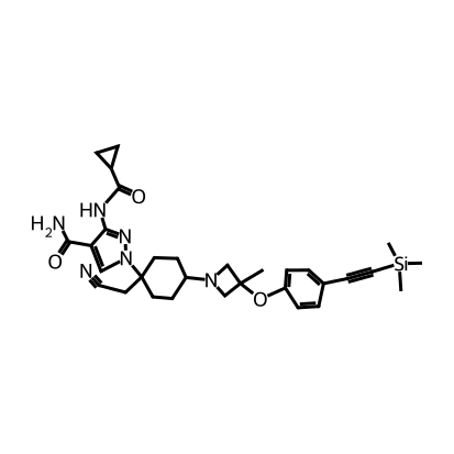 CC1(Oc2ccc(C#C[Si](C)(C)C)cc2)CN(C2CCC(CC#N)(n3cc(C(N)=O)c(NC(=O)C4CC4)n3)CC2)C1